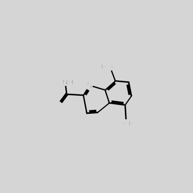 Cc1ccc(O)c2nc(C(N)=O)ccc12